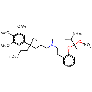 CCCCCCCCCCCCC(C#N)(CCCN(C)CCc1ccccc1OC(C)(O[N+](=O)[O-])C(C)NC(C)=O)c1cc(OC)c(OC)c(OC)c1